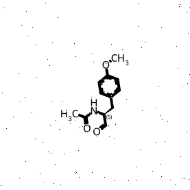 COc1ccc(C[C@@H]([C]=O)NC(C)=O)cc1